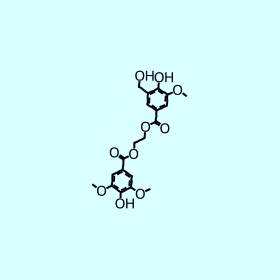 COc1cc(C(=O)OCCOC(=O)c2cc(OC)c(O)c(OC)c2)cc(CO)c1O